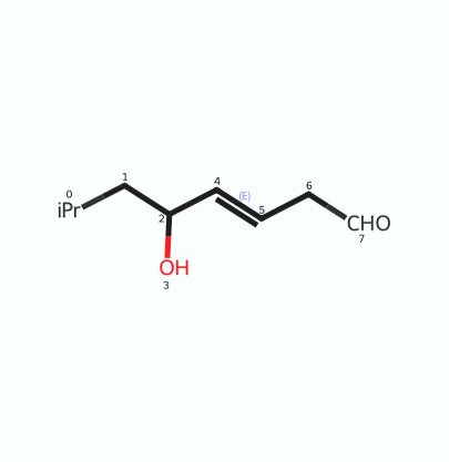 CC(C)CC(O)/C=C/CC=O